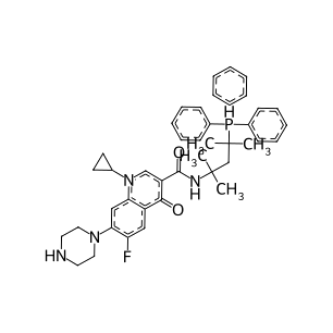 CC(C)(CC(C)(C)[PH](c1ccccc1)(c1ccccc1)c1ccccc1)NC(=O)c1cn(C2CC2)c2cc(N3CCNCC3)c(F)cc2c1=O